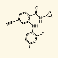 N#Cc1ccc(C(=O)NC2CC2)c(Nc2ccc(I)cc2F)c1